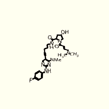 CNc1nc(Nc2ccc(F)cc2)ncc1C#CCCCNC(=O)C1C[C@H](O)CN1C(=O)/C=C/CN(C)C